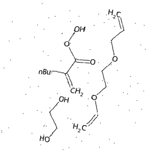 C=C(CCCC)C(=O)OO.C=CCOCCOC=C.OCCO